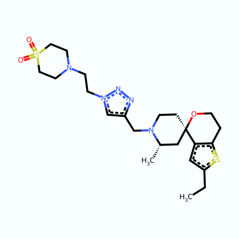 CCc1cc2c(s1)CCO[C@@]21CCN(Cc2cn(CCN3CCS(=O)(=O)CC3)nn2)[C@@H](C)C1